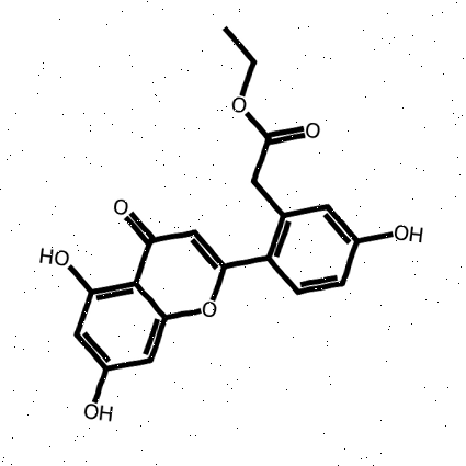 CCOC(=O)Cc1cc(O)ccc1-c1cc(=O)c2c(O)cc(O)cc2o1